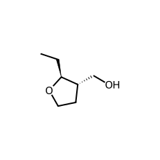 CC[C@@H]1OCC[C@H]1CO